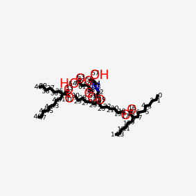 CCCCCCCCC(CCCCCC)C(=O)OCCCCCCC(CCCCCCOC(=O)C(CCCCCC)CCCCCCCC)OC(=O)CN(CC(=O)O)C(=O)CCC(=O)O